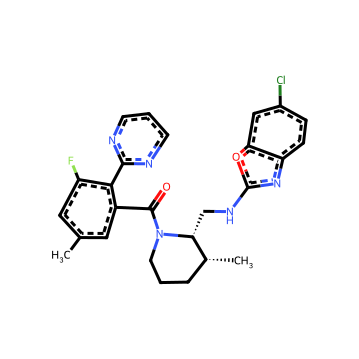 Cc1cc(F)c(-c2ncccn2)c(C(=O)N2CCC[C@@H](C)[C@H]2CNc2nc3ccc(Cl)cc3o2)c1